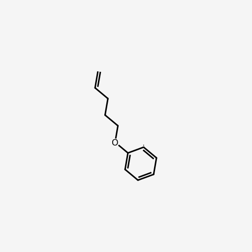 C=CCCCOc1[c]cccc1